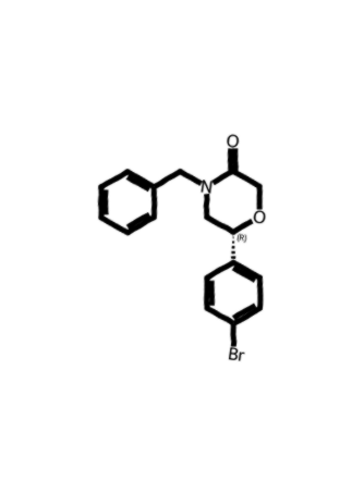 O=C1CO[C@H](c2ccc(Br)cc2)CN1Cc1ccccc1